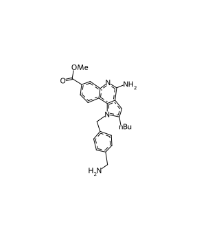 CCCCc1cc2c(N)nc3cc(C(=O)OC)ccc3c2n1Cc1ccc(CN)cc1